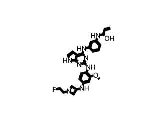 C=CC(O)Nc1cccc(Nc2nc(Nc3ccc(NC4CN(CCF)C4)cc3OC)nc3[nH]ccc23)c1